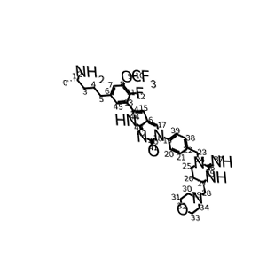 C[C@H](N)CCCc1cc(OC(F)(F)F)c(F)c(-c2cc3cn(-c4ccc(CN5CC[C@H](CN6CCOCC6)NC5=N)cc4)c(=O)nc3[nH]2)c1